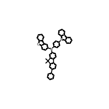 CC1(C)c2cc(-c3ccccc3)ccc2-c2ccc(N(c3ccc(-n4c5ccccc5c5ccccc54)cc3)c3ccc4oc5ccccc5c4c3)cc21